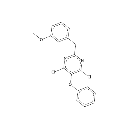 COc1cccc(Cc2nc(Cl)c(Oc3ccccc3)c(Cl)n2)c1